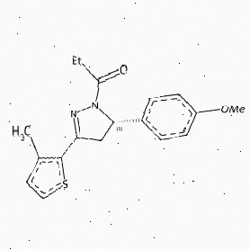 CCC(=O)N1N=C(c2sccc2C)C[C@H]1c1ccc(OC)cc1